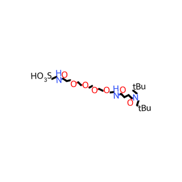 CC(C)(C)CCN(CCC(C)(C)C)C(=O)CCC(=O)NCCOCCOCCOCCOCCC(=O)NCCS(=O)(=O)O